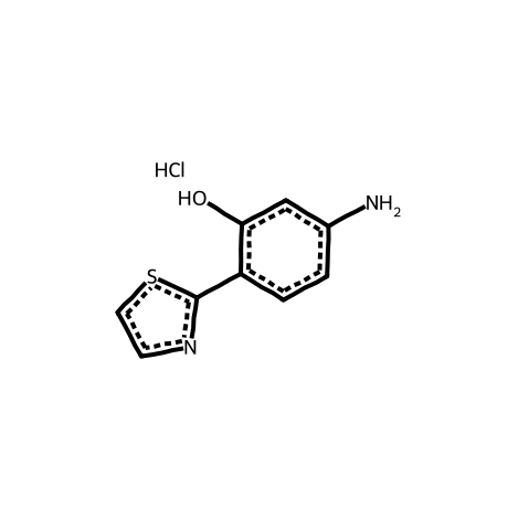 Cl.Nc1ccc(-c2nccs2)c(O)c1